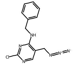 [N-]=[N+]=NCc1cnc(Cl)nc1NCc1ccccc1